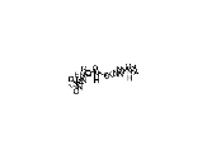 CCC1C(=O)N(C)c2cnc(Nc3ccc(C(=O)NCCCOC4CCN(c5ncc(C(=O)NC6C(C)(C)CC6(C)C)cn5)CC4)cc3OC)nc2N1C1CCCC1